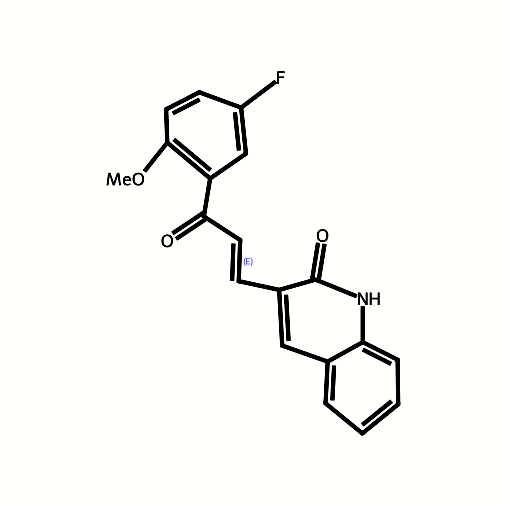 COc1ccc(F)cc1C(=O)/C=C/c1cc2ccccc2[nH]c1=O